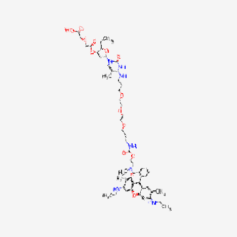 CC/N=c1/cc2oc3cc(NCC)c(C)cc3c(-c3ccccc3C(=O)N(C)CCOC(=O)NCCCOCCOCCOCCCNC3NC(=O)N(C4CC(OC(=O)COCC(=O)O)C(CC)O4)C=C3C)c-2cc1C